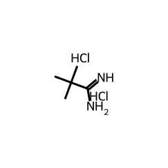 CC(C)(C)C(=N)N.Cl.Cl